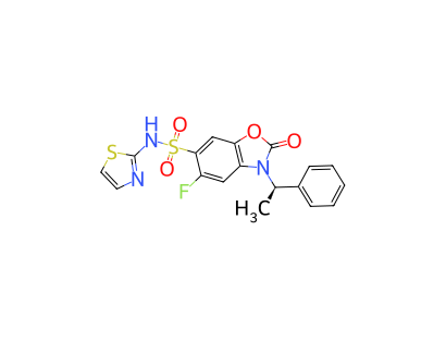 C[C@H](c1ccccc1)n1c(=O)oc2cc(S(=O)(=O)Nc3nccs3)c(F)cc21